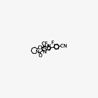 CC1CCCCCN1C(=O)c1cc(C(F)(F)F)n2nc(-c3ccc(C#N)cc3F)cc2n1